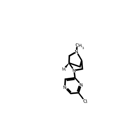 CN1C[C@@H]2CC1CN2c1cncc(Cl)n1